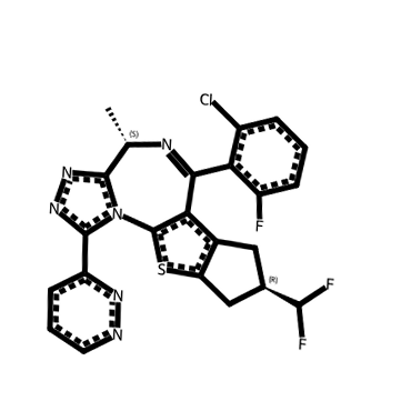 C[C@@H]1N=C(c2c(F)cccc2Cl)c2c(sc3c2C[C@@H](C(F)F)C3)-n2c(-c3cccnn3)nnc21